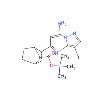 CC(C)(C)OC(=O)N1C2CCC1C(c1cc(N)n3ncc(I)c3n1)C2